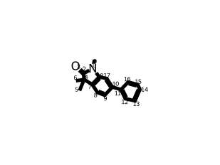 CN1C(=O)C(C)(C)c2ccc(-c3ccccc3)cc21